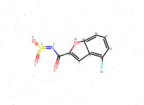 O=C(N=S(=O)=O)c1cc2c(F)cccc2o1